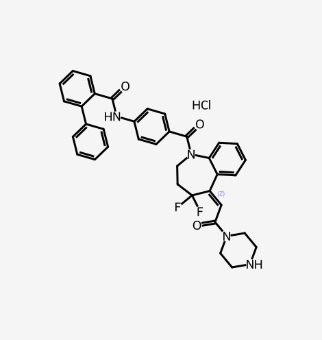 Cl.O=C(Nc1ccc(C(=O)N2CCC(F)(F)/C(=C\C(=O)N3CCNCC3)c3ccccc32)cc1)c1ccccc1-c1ccccc1